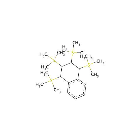 CS(C)(C)C1c2ccccc2C(S(C)(C)C)C(S(C)(C)C)C1S(C)(C)C